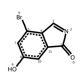 O=C1N=Cc2c(Br)cc(O)cc21